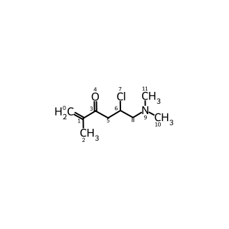 C=C(C)C(=O)CC(Cl)CN(C)C